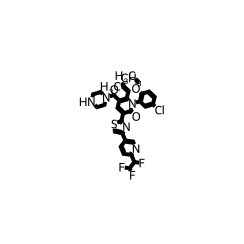 CCOc1ccc(Cl)cc1-n1c(C=C(C)C)c(C(=O)N2CCNCC2)cc(-c2nc(-c3ccc(C(F)C(F)F)nc3)cs2)c1=O